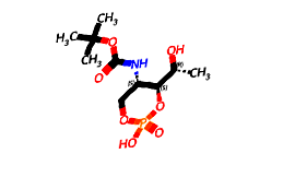 C[C@@H](O)[C@H]1OP(=O)(O)OC[C@@H]1NC(=O)OC(C)(C)C